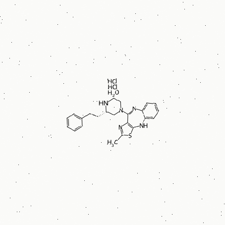 Cc1nc2c(s1)Nc1ccccc1N=C2N1CCN[C@@H](CCc2ccccc2)C1.Cl.Cl.O